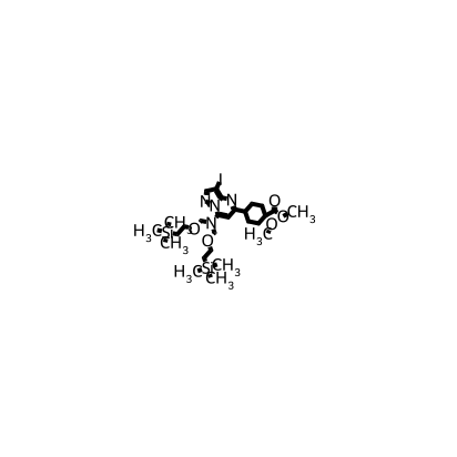 COC(=O)C1(OC)CCC(c2cc(N(COCC[Si](C)(C)C)COCC[Si](C)(C)C)n3ncc(I)c3n2)CC1